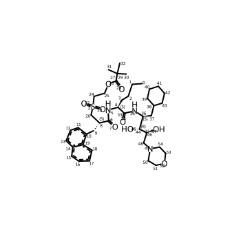 CCCC[C@H](NC(=O)[C@H](Cc1cccc2ccccc12)CS(=O)(=O)CCOC(=O)C(C)(C)C)C(=O)N[C@@H](CC1CCCCC1)[C@@H](O)[C@@H](O)CN1CCOCC1